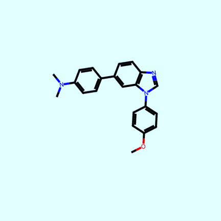 COc1ccc(-n2cnc3ccc(-c4ccc(N(C)C)cc4)cc32)cc1